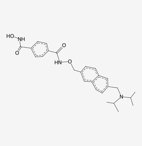 CC(C)N(Cc1ccc2cc(CONC(=O)c3ccc(C(=O)NO)cc3)ccc2c1)C(C)C